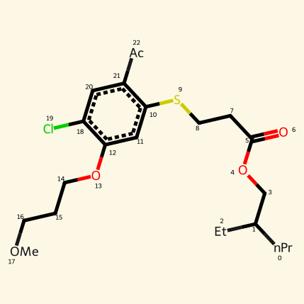 CCCC(CC)COC(=O)CCSc1cc(OCCCOC)c(Cl)cc1C(C)=O